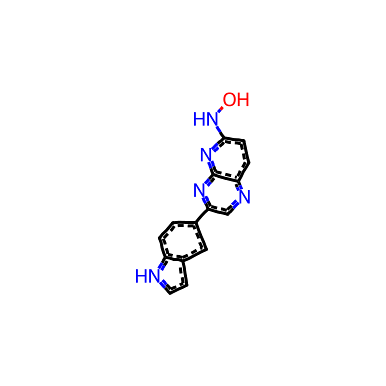 ONc1ccc2ncc(-c3ccc4[nH]ccc4c3)nc2n1